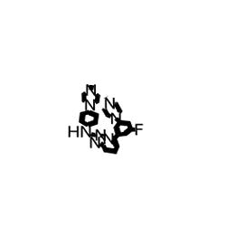 CN1CCN(c2ccc(Nc3nc4cccc(-c5cc(F)cc(N6CCN(C)CC6)c5)n4n3)cc2)CC1